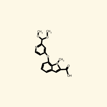 COC(OC)c1cc(Oc2cccc3cc(C(=O)O)n(C)c23)ccn1